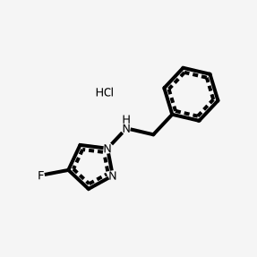 Cl.Fc1cnn(NCc2ccccc2)c1